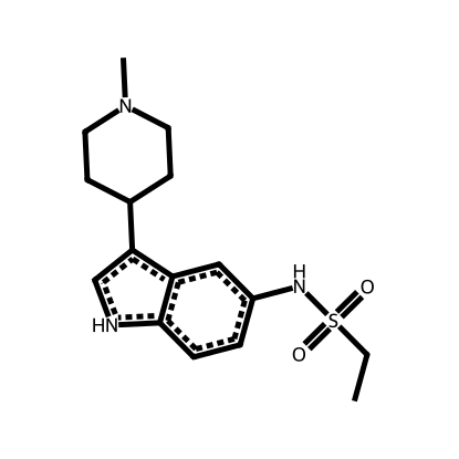 CCS(=O)(=O)Nc1ccc2[nH]cc(C3CCN(C)CC3)c2c1